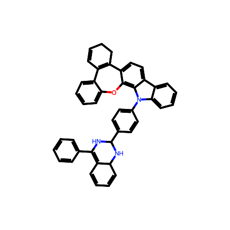 C1=CC2=C(c3ccccc3)NC(c3ccc(-n4c5ccccc5c5ccc6c(c54)Oc4ccccc4C4=C6CCC=C4)cc3)NC2C=C1